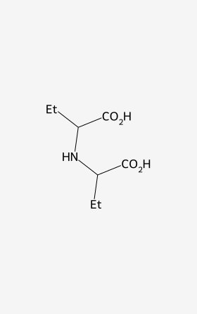 CCC(NC(CC)C(=O)O)C(=O)O